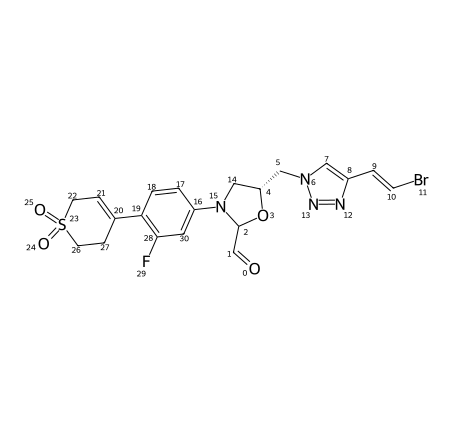 O=CC1O[C@@H](Cn2cc(/C=C/Br)nn2)CN1c1ccc(C2=CCS(=O)(=O)CC2)c(F)c1